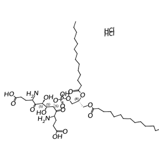 CCCCCCCCCCCCCC(=O)OC[C@H](COP(=O)(O)O[C@H](C(=O)C(N)CCC(=O)O)[C@@H](O)[C@H](O)C(=O)C(N)CCC(=O)O)OC(=O)CCCCCCCCCCCCC.Cl.Cl